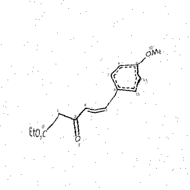 CCOC(=O)CC(=O)/C=C/c1ccc(OC)cc1